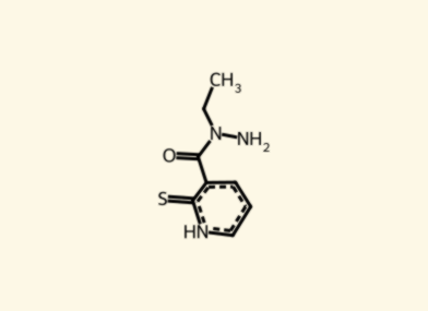 CCN(N)C(=O)c1ccc[nH]c1=S